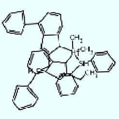 CCC1=Cc2c(-c3ccccc3)cccc2[CH]1[Hf]([CH3])([CH3])([CH]1C(CC)=Cc2c(-c3ccccc3)cccc21)[SiH](c1ccccc1)c1ccccc1